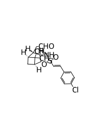 CC1(C)[C@H]2C[C@H](NS(=O)(=O)C=Cc3ccc(Cl)cc3)[C@@H](CC=O)[C@@H]1C2